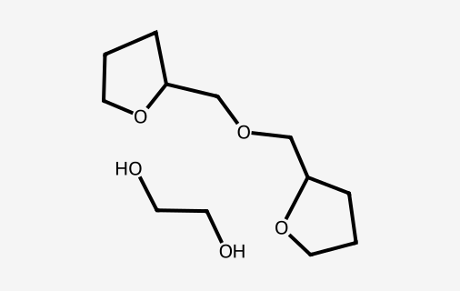 C1COC(COCC2CCCO2)C1.OCCO